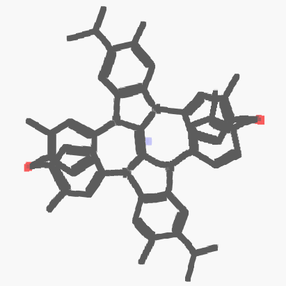 Cc1ccc(N2/C(=C3/N(c4ccc(C)c(C)c4)c4cc(C)c(C(C)C)cc4N3c3ccc(C)c(C)c3)N(c3ccc(C)c(C)c3)c3cc(C(C)C)c(C)cc32)cc1C